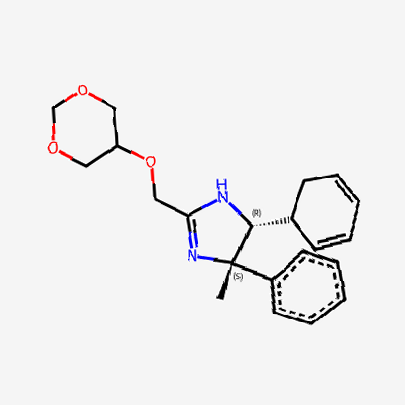 C[C@@]1(c2ccccc2)N=C(COC2COCOC2)N[C@@H]1C1C=CC=CC1